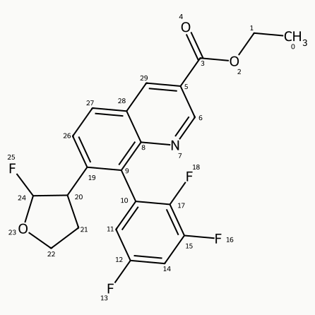 CCOC(=O)c1cnc2c(-c3cc(F)cc(F)c3F)c(C3CCOC3F)ccc2c1